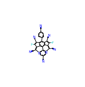 N#CC(C#N)=C1C(F)=C(C#N)c2c1c(-c1ccc(C#N)cc1)c1c(c2-c2ccc(C#N)cc2)C(C#N)=C(F)C1=C(C#N)C#N